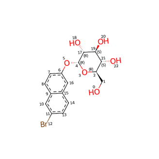 OC[C@H]1O[C@H](Oc2ccc3cc(Br)ccc3c2)[C@H](O)[C@@H](O)[C@@H]1O